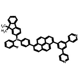 CC1(C)c2ccccc2-c2ccc(N(c3ccc(-c4ccc5ccc6c(-c7cc(-c8ccncc8)cc(-c8ccncc8)c7)ccc7ccc4c5c76)cc3)c3ccccc3F)cc21